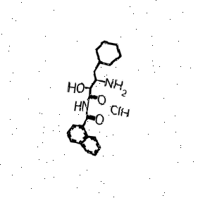 Cl.N[C@H](CC1CCCCC1)[C@H](O)C(=O)NC(=O)c1cccc2ccccc12